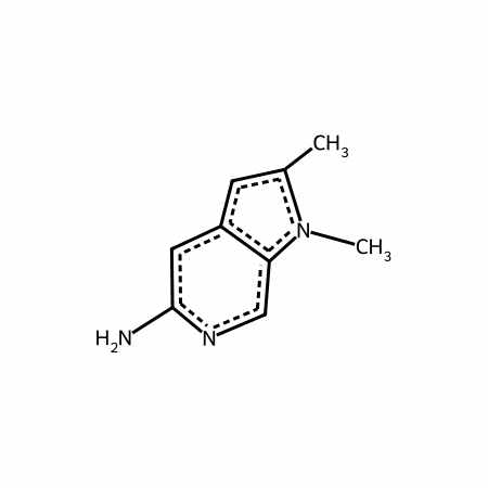 Cc1cc2cc(N)ncc2n1C